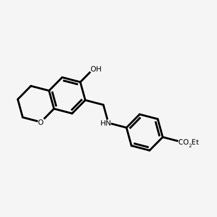 CCOC(=O)c1ccc(NCc2cc3c(cc2O)CCCO3)cc1